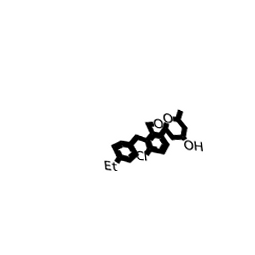 CCc1ccc(Cc2c(Cl)ccc3c2COC32CC(O)CC(C)O2)cc1